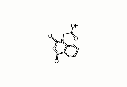 O=C(O)Cn1c(=O)oc(=O)c2ccccc21